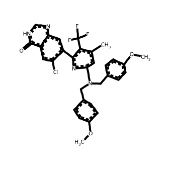 COc1ccc(CN(Cc2ccc(OC)cc2)c2cc(C)c(C(F)(F)F)c(-c3cc4nc[nH]c(=O)c4cc3Cl)n2)cc1